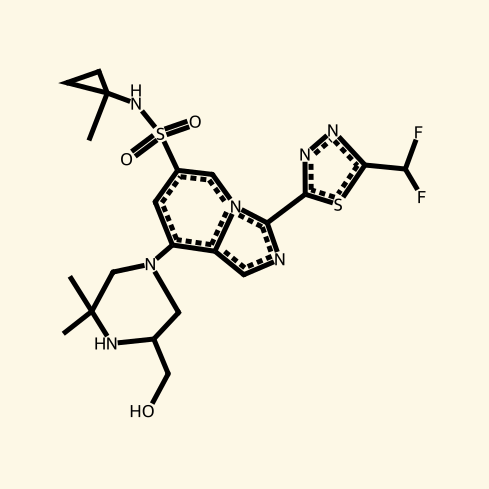 CC1(C)CN(c2cc(S(=O)(=O)NC3(C)CC3)cn3c(-c4nnc(C(F)F)s4)ncc23)CC(CO)N1